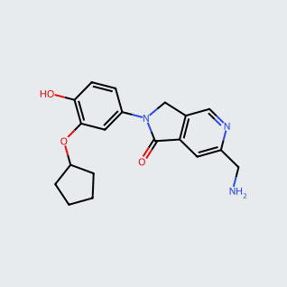 NCc1cc2c(cn1)CN(c1ccc(O)c(OC3CCCC3)c1)C2=O